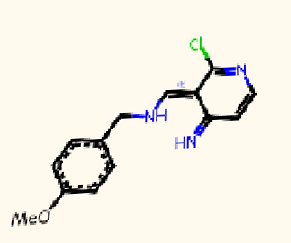 COc1ccc(CN/C=C2\C(=N)C=CN=C2Cl)cc1